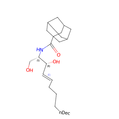 CCCCCCCCCCCCC/C=C/[C@@H](O)[C@H](CO)NC(=O)C12CC3CC(CC(C3)C1)C2